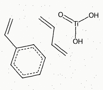 C=CC=C.C=Cc1ccccc1.[O]=[Ti]([OH])[OH]